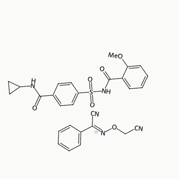 COc1ccccc1C(=O)NS(=O)(=O)c1ccc(C(=O)NC2CC2)cc1.N#CCO/N=C(\C#N)c1ccccc1